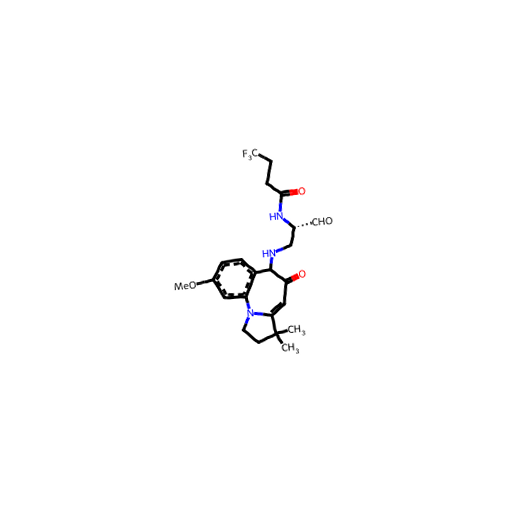 COc1ccc2c(c1)N1CCC(C)(C)C1=CC(=O)C2NC[C@@H](C=O)NC(=O)CCC(F)(F)F